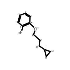 Fc1[c]cccc1OCCCC1CC1